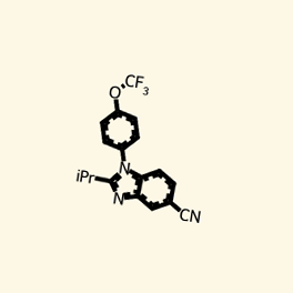 CC(C)c1nc2cc(C#N)ccc2n1-c1ccc(OC(F)(F)F)cc1